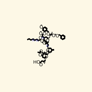 C=C1C[C@@H](CC2(C)O[C@H](C[C@@H](C)CC(=O)O)C[C@H](OC(C)=O)C2(C)C)O[C@@H](/C=C/C(C)(C)[C@]2(OC)O[C@H](C[C@@H](OCc3ccc(OC)cc3)[C@@H](C)OCOCc3ccccc3)C/C(=C\C(=O)OC)[C@@H]2OC(=O)/C=C/C=C/CCC)C1